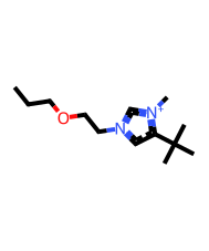 CCCOCCn1cc(C(C)(C)C)[n+](C)c1